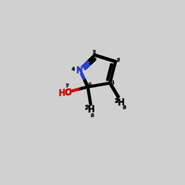 [2H]C1=CC=NC1([2H])O